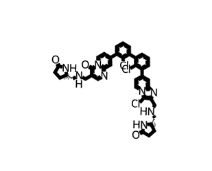 O=C1CC[C@@H](CNCc2nc3cc(-c4cccc(-c5cccc(-c6ccn7c(=O)c(CNC[C@@H]8CCC(=O)N8)cnc7c6)c5Cl)c4Cl)ccn3c2Cl)N1